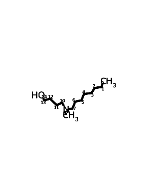 CCCCCCCCN(C)CCCCO